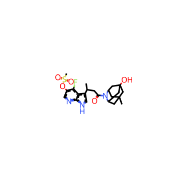 CC(CC(=O)N1C2CC3(C)CC1CC(O)(C2)C3)c1c[nH]c2ncc(OS(C)(=O)=O)c(F)c12